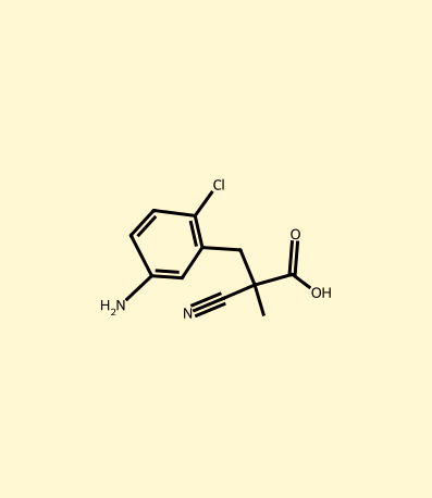 CC(C#N)(Cc1cc(N)ccc1Cl)C(=O)O